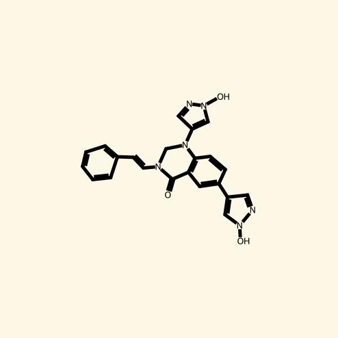 O=C1c2cc(-c3cnn(O)c3)ccc2N(c2cnn(O)c2)CN1C=Cc1ccccc1